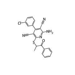 CC(Sc1nc(N)c(C#N)c(-c2cccc(Cl)c2)c1C#N)C(=O)c1ccccc1